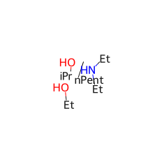 CC(C)O.CCCCCC.CCNCC.CCO